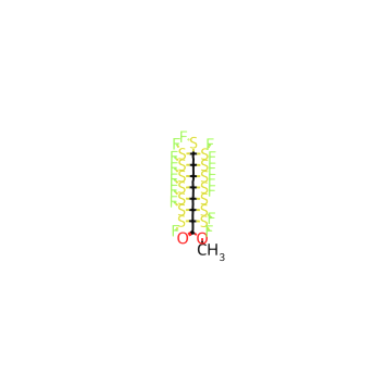 COC(=O)C(SF)(SF)C(SF)(SF)C(SF)(SF)C(SF)(SF)C(SF)(SF)C(SF)(SF)C(SF)(SF)SF